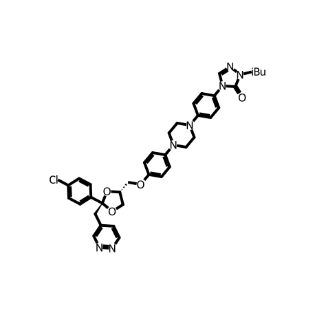 CCC(C)n1ncn(-c2ccc(N3CCN(c4ccc(OC[C@@H]5CO[C@](Cc6ccnnc6)(c6ccc(Cl)cc6)O5)cc4)CC3)cc2)c1=O